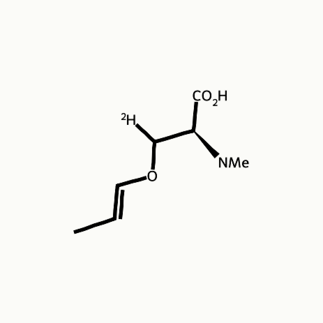 [2H]C(OC=CC)[C@H](NC)C(=O)O